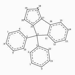 c1ccc(C2(c3ccccc3)c3ccccc3-c3sccc32)cc1